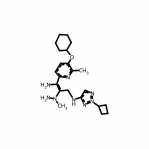 Cc1nc(/C(N)=C(\CNc2cnn(C3CCC3)n2)N(C)N)ccc1OC1CCCCC1